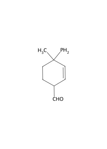 CC1(P)C=CC(C=O)CC1